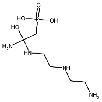 NCCNCCNC(N)(O)CP(=O)(O)O